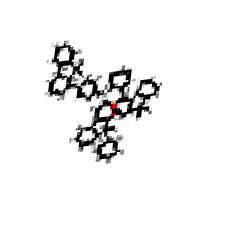 CC1(C)c2ccccc2-c2c(-c3ccccc3N(c3ccc(-c4cccc5c4C(C)(C)c4ccccc4-5)cc3)c3ccc4c(c3)-c3ccccc3C4(C)c3ccccc3)cccc21